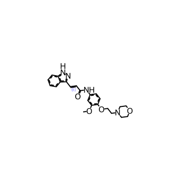 COc1cc(NC(=O)/C=C/c2n[nH]c3ccccc23)ccc1OCCN1CCOCC1